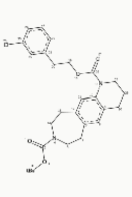 CC(C)(C)OC(=O)N1CCc2cc3c(cc2CC1)N(C(=O)OCCc1cccc(Cl)c1)CCC3